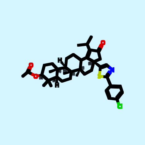 CC(=O)O[C@H]1CC[C@]2(C)[C@H]3CCC4C5=C(C(C)C)C(=O)C[C@]5(c5cnc(-c6ccc(Cl)cc6)s5)CC[C@@]4(C)[C@]3(C)CC[C@H]2C1(C)C